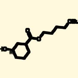 CC(C)COCCCCOC(=O)C1CCC[C@@H](O)C1